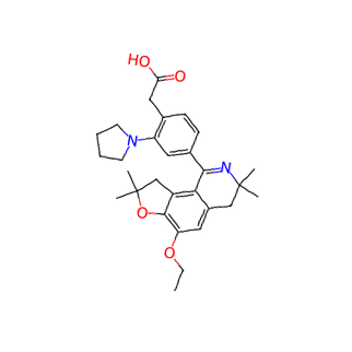 CCOc1cc2c(c3c1OC(C)(C)C3)C(c1ccc(CC(=O)O)c(N3CCCC3)c1)=NC(C)(C)C2